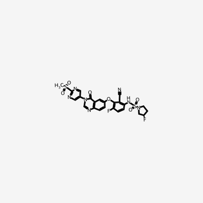 CS(=O)(=O)c1ncc(-n2cnc3ccc(Oc4c(F)ccc(NS(=O)(=O)N5CC[C@@H](F)C5)c4C#N)cc3c2=O)cn1